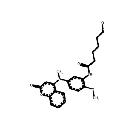 COc1ccc(N(C)c2cc(=O)oc3ccccc23)cc1NC(=O)CCCCCCl